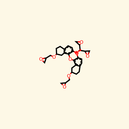 c1cc(OCC2CO2)c(Oc2c(OCC3CO3)ccc3c2CC(OCC2CO2)CC3)c2c1CCC(OCC1CO1)C2